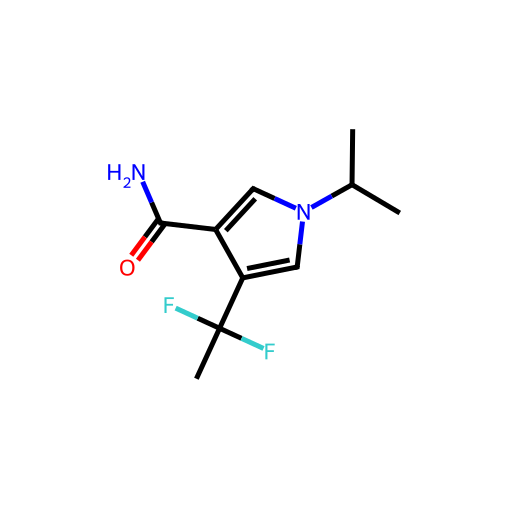 CC(C)n1cc(C(N)=O)c(C(C)(F)F)c1